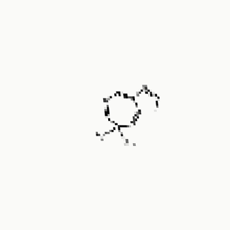 CC1(C)C=NC=c2ncsc2=C1